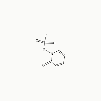 CS(=O)(=O)On1ccccc1=O